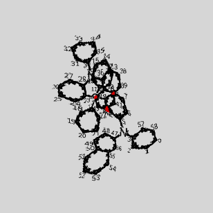 c1ccc(N(c2cccc([Si](c3ccccc3)(c3ccccc3)c3ccccc3N(c3ccccc3)c3cccc4ccccc34)c2)c2ccc3ccccc3c2)cc1